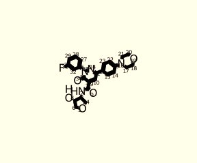 O=C(N[C@H]1COC[C@@H]1O)c1cc(-c2ccc(N3CCOCC3)cc2)nn(-c2cccc(F)c2)c1=O